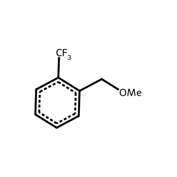 [CH2]OCc1ccccc1C(F)(F)F